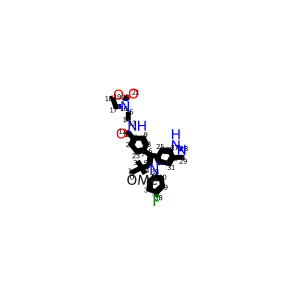 COCC(C)(C)c1c(-c2ccc(C(=O)NCCN3CCOC3=O)cc2)c2cc3[nH]ncc3cc2n1-c1ccc(F)cc1